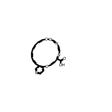 O=C(O)C1=N/C=C\N=C/OC\C=C/C=C\C=C/C=C\c2cnccc2O/C=C\1